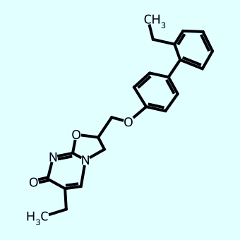 CCc1ccccc1-c1ccc(OCC2Cn3cc(CC)c(=O)nc3O2)cc1